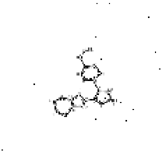 COc1ccc(-c2n[nH]cc2-c2nc3ccccc3s2)cc1